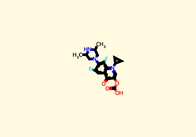 CC1CN(c2c(F)cc3c(=O)c(OC(=O)O)cn(C4CC4)c3c2F)CC(C)N1